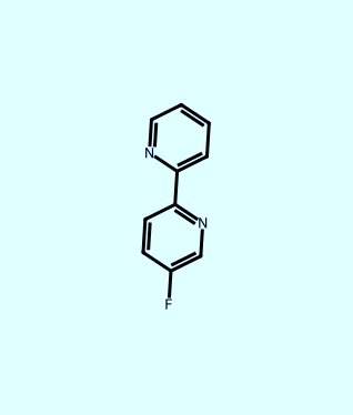 Fc1ccc(-c2ccccn2)nc1